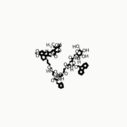 CC[C@@]1(O)C(=O)OCc2c1cc1n(c2=O)Cc2c-1nc1cc3c(c4c1c2[C@@H](CCCOCNC(=O)CNC(=O)[C@H](Cc1ccccc1)NC(=O)CNC(=O)CNC(=O)[C@H](CCC(=O)NC[C@@H]1O[C@H](CO)[C@@H](O)[C@H](O)[C@H]1O)NC(=O)OCC1c2ccccc2-c2ccccc21)CC4)OCO3